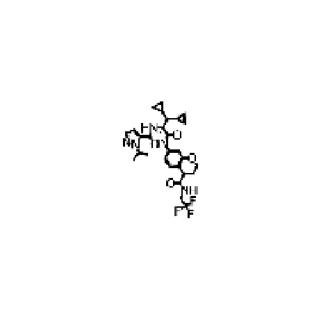 CC(C)n1nccc1C(=O)N[C@H](C(=O)Nc1ccc2c(c1)OCCC2C(=O)NCC(F)(F)F)C(C1CC1)C1CC1